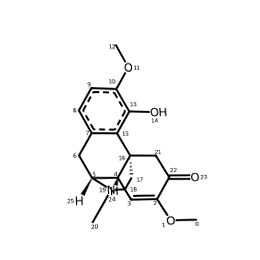 COC1=C[C@@H]2[C@H]3Cc4ccc(OC)c(O)c4[C@@]2(CCN3C)CC1=O